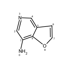 Nc1cncc2ccoc12